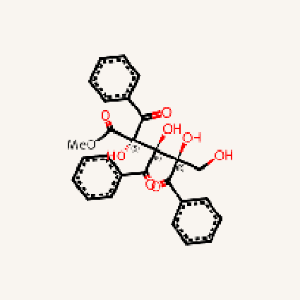 COC(=O)[C@@](O)(C(=O)c1ccccc1)[C@@](O)(C(=O)c1ccccc1)[C@](O)(CO)C(=O)c1ccccc1